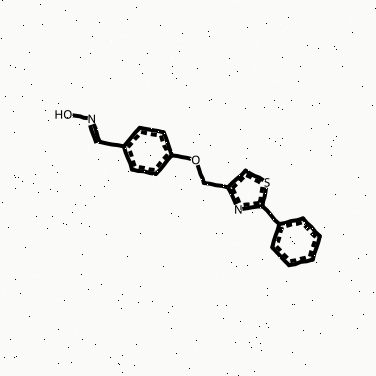 O/N=C/c1ccc(OCc2csc(-c3ccccc3)n2)cc1